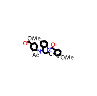 COC(=O)c1ccc(N(C(C)=O)[C@@H]2C[C@H](C)N(C(=O)c3ccc(OC)cc3)c3ccccc32)cc1